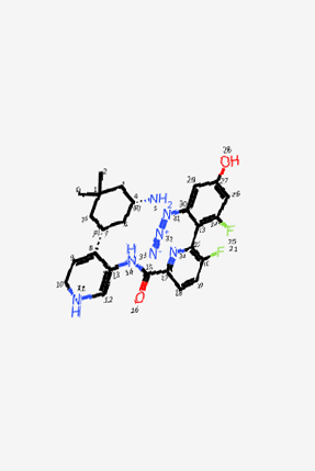 CC1(C)C[C@H](N)C[C@H](C2=CCNC=C2NC(=O)c2ccc(F)c(-c3c(F)cc(O)cc3N=[N+]=[N-])n2)C1